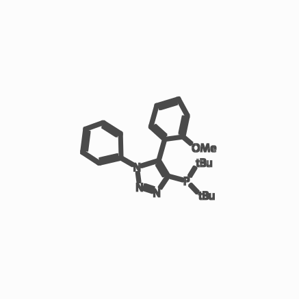 COc1ccccc1-c1c(P(C(C)(C)C)C(C)(C)C)nnn1-c1ccccc1